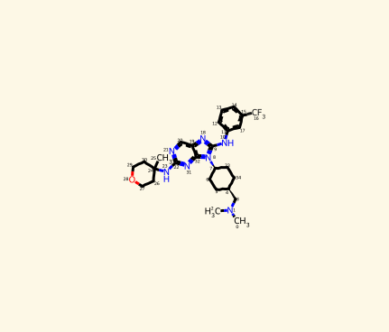 CN(C)C[C@H]1CC[C@@H](n2c(Nc3cccc(C(F)(F)F)c3)nc3cnc(NC4(C)CCOCC4)nc32)CC1